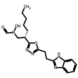 CCCCC[C@@H](CN(O)C=O)c1nnc(CCc2nc3ccccc3[nH]2)o1